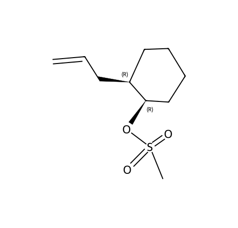 C=CC[C@H]1CCCC[C@H]1OS(C)(=O)=O